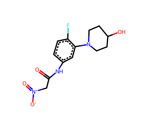 O=C(C[N+](=O)[O-])Nc1ccc(F)c(N2CCC(O)CC2)c1